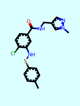 Cc1ccc(SNc2cc(C(=O)NCc3cnn(C)c3)ccc2Cl)cc1